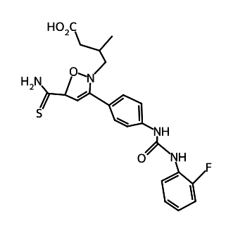 CC(CC(=O)O)CN1OC(C(N)=S)C=C1c1ccc(NC(=O)Nc2ccccc2F)cc1